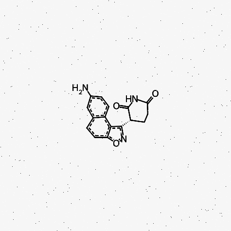 Nc1ccc2c(ccc3onc([C@H]4CCC(=O)NC4=O)c32)c1